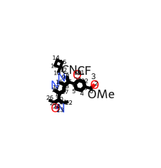 COC(=O)c1ccc(-c2cn(CC3(C#N)CCC3)c3ncc(-c4c(C)noc4C)cc23)c(OC(F)(F)F)c1